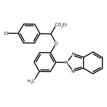 CCOC(=O)C(Oc1ccc(C)cc1-n1nc2ccccc2n1)c1ccc(Cl)cc1